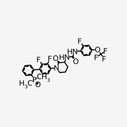 CP(C)(=O)c1ccccc1-c1ccc(N2CCCC(NC(=O)Nc3ccc(OC(F)(F)F)cc3F)C2=O)c(F)c1F